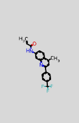 C=CC(=O)Nc1ccc2c(C)cc(-c3ccc(C(F)(F)F)cc3)nc2c1